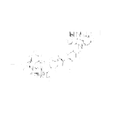 NC(=O)C(NC(=O)O)(C(=O)N1CCCC1c1ccc2c(c1)CCCc1c-2[nH]c2ccc([C@@H]3CCCN3C(=O)[C@](NC(=O)O)(C(N)=O)c3ccccc3)cc12)c1ccccc1